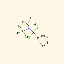 CC[Si](CC)(CC)N(C(Cl)(Cl)c1ccccc1)[Si](CC)(CC)CC